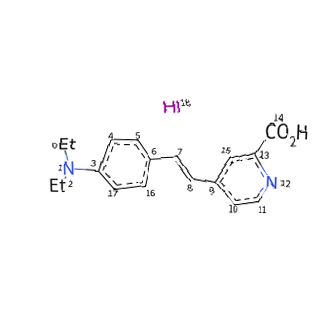 CCN(CC)c1ccc(C=Cc2ccnc(C(=O)O)c2)cc1.I